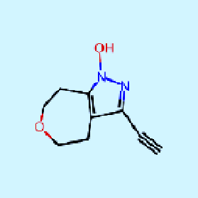 C#Cc1nn(O)c2c1CCOCC2